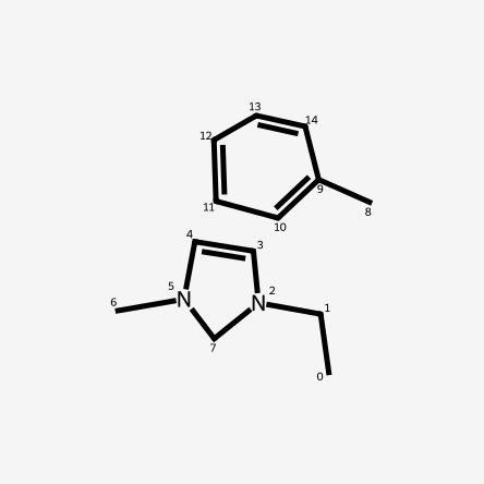 CCN1C=CN(C)C1.Cc1ccccc1